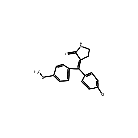 CSc1ccc(/C(=C2/CCNC2=O)c2ccc(Cl)cc2)cc1